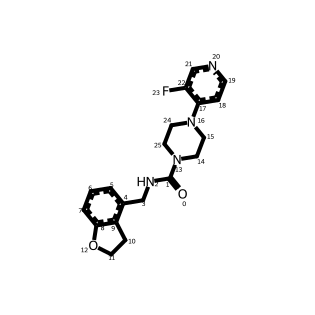 O=C(NCc1cccc2c1CCO2)N1CCN(c2ccncc2F)CC1